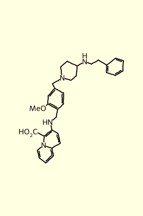 COc1cc(CN2CCC(NCCc3ccccc3)CC2)ccc1CNC1=C(C(=O)O)N2C=CC=C=C2C=C1